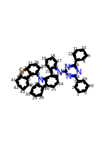 c1ccc(-c2nc(-c3ccccc3)nc(-n3c4ccccc4c4c3ccc3c5ccccc5n(-c5cccc6sc7ccccc7c56)c34)n2)cc1